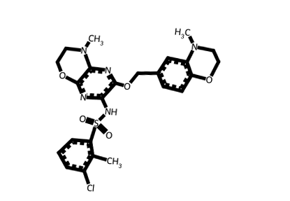 Cc1c(Cl)cccc1S(=O)(=O)Nc1nc2c(nc1OCc1ccc3c(c1)N(C)CCO3)N(C)CCO2